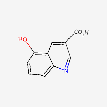 O=C(O)c1cnc2cccc(O)c2c1